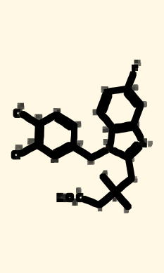 CCOC(=O)CC(C)(C)Cc1nc2cc(F)ccc2n1Cc1ccc(Cl)c(Cl)c1